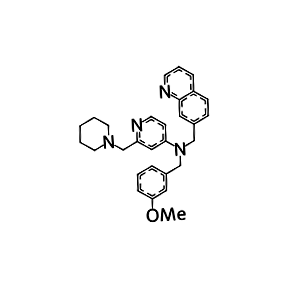 COc1cccc(CN(Cc2ccc3cccnc3c2)c2ccnc(CN3CCCCC3)c2)c1